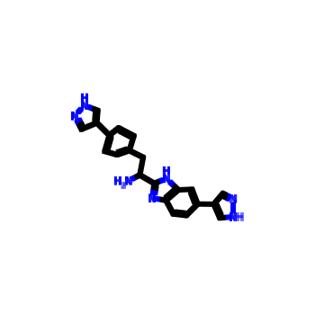 NC(Cc1ccc(-c2cn[nH]c2)cc1)c1nc2ccc(-c3cn[nH]c3)cc2[nH]1